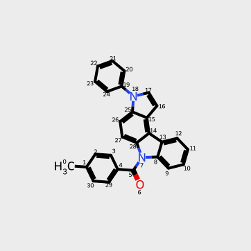 Cc1ccc(C(=O)n2c3ccccc3c3c4ccn(-c5ccccc5)c4ccc32)cc1